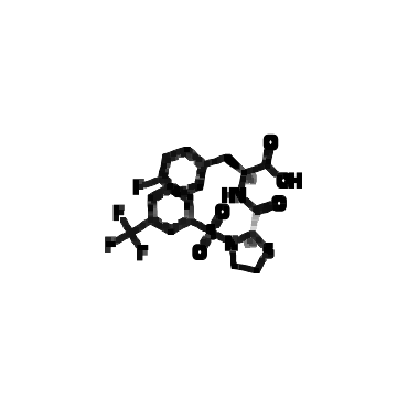 O=C(O)[C@H](Cc1ccc(F)cc1)NC(=O)[C@@H]1SCCN1S(=O)(=O)c1cccc(C(F)(F)F)c1